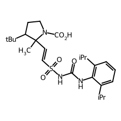 CC(C)c1cccc(C(C)C)c1NC(=O)NS(=O)(=O)C=CC1(C)C(C(C)(C)C)CCN1C(=O)O